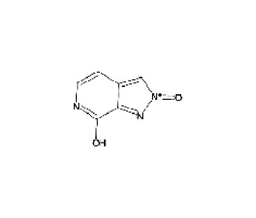 O=[N+]1C=c2ccnc(O)c2=N1